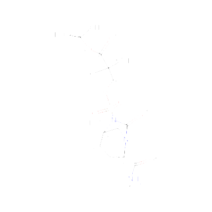 CC(C)OC(=O)C(C)(C)COS(=O)(=O)N1C(=O)N2C[C@H]1CC[C@H]2C(N)=O